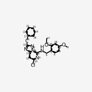 COc1ccc(CNc2nc(Cl)cc3nc(Cc4ccccc4)nn23)c(OC)c1